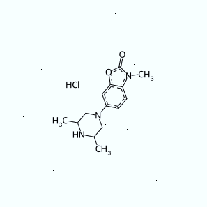 CC1CN(c2ccc3c(c2)oc(=O)n3C)CC(C)N1.Cl